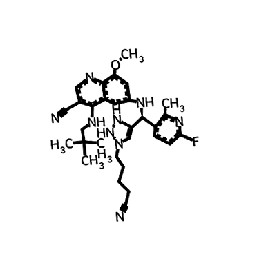 COc1cc(N[C@H](C2=CN(CCCCC#N)NN2)c2ccc(F)nc2C)cc2c(NCC(C)(C)C)c(C#N)cnc12